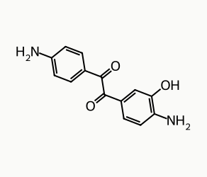 Nc1ccc(C(=O)C(=O)c2ccc(N)c(O)c2)cc1